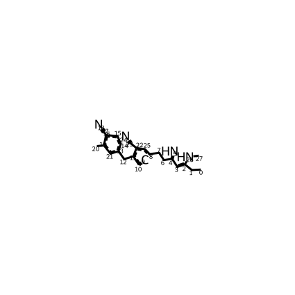 CC/C(=C/C(=N)CCc1ccc(Cc2ccc(C#N)c(C)c2)c(C#N)c1)NC